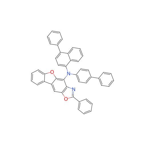 c1ccc(-c2ccc(N(c3ccc(-c4ccccc4)c4ccccc34)c3c4nc(-c5ccccc5)oc4cc4c3oc3ccccc34)cc2)cc1